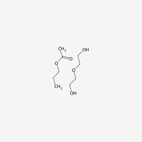 CCCOC(C)=O.OCCOCCO